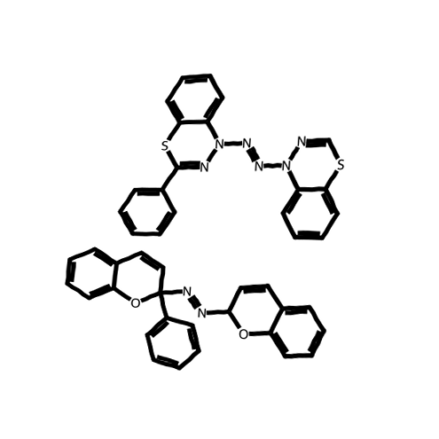 C1=CC(N=NC2(c3ccccc3)C=Cc3ccccc3O2)Oc2ccccc21.C1=NN(N=NN2N=C(c3ccccc3)Sc3ccccc32)c2ccccc2S1